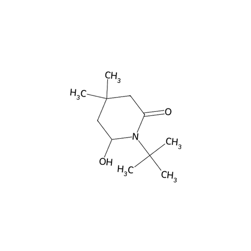 CC1(C)CC(=O)N(C(C)(C)C)C(O)C1